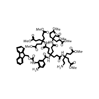 COC(=O)CCC(CCN)(CCC(=O)OC)NC(=O)CCC(CCC(=O)NC(CCC(=O)OC)(CCC(=O)OC)CCC(=O)OC)(CCC(=O)NC(CCC(=O)OC)(CCC(=O)OC)CC(=O)OC)NC(=O)c1ccc(N)c(NC(=O)OCC2c3ccccc3-c3ccccc32)c1